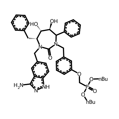 CCCCOP(=O)(COc1cccc(CN2C(=O)N(Cc3ccc4[nH]nc(N)c4c3)[C@H](Cc3ccccc3)[C@H](O)[C@@H](O)C2c2ccccc2)c1)OCCCC